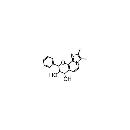 Cc1nc2c3c(ccn2c1C)C(O)C(O)C(c1ccccc1)O3